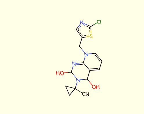 N#CC1(N2C(O)N=C3C(=CC=CN3Cc3cnc(Cl)s3)C2O)CC1